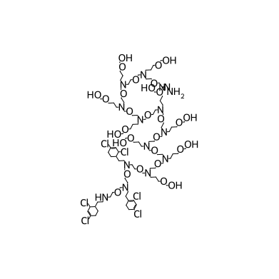 NN=NCOCCN(CCCOCO)COCCN(CCCOCO)COCCN(CCCOCO)COCCN(CCCOCO)COCCN(CCCOCO)COCCN(CCCOCO)COCCN(CCCOCO)COCCN(CCCOCO)COCCN(CCCOCO)COCCN(CCC1CCC(Cl)=CC1Cl)COCCN(CCC1=C(Cl)C=C(Cl)CC1)COCCNCCC1CCC(Cl)=CC1Cl